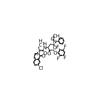 CC[C@@H](C(=O)NC(CC(=O)N(OC)c1ccccc1)C(=O)COc1c(F)c(F)cc(F)c1F)n1ccc2ccc(Cl)cc2c1=O